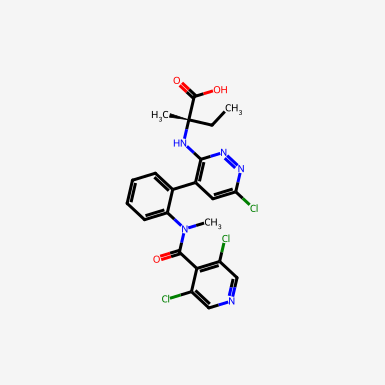 CC[C@](C)(Nc1nnc(Cl)cc1-c1ccccc1N(C)C(=O)c1c(Cl)cncc1Cl)C(=O)O